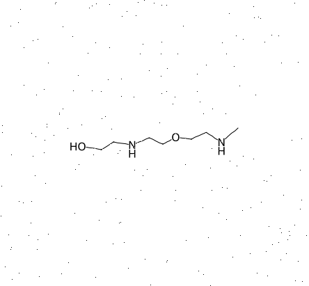 CNCCOCCNCCO